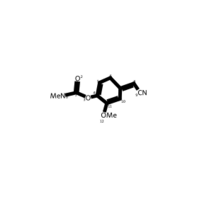 CNC(=O)OC1=CCC(=CC#N)C=C1OC